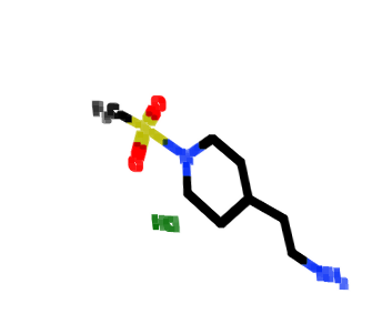 Cl.NCCC1CCN(S(=O)(=O)C(F)(F)F)CC1